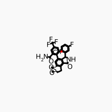 NC(=O)c1cc(C(F)(F)F)cc(F)c1-c1cc2c(c3c1C(c1cc(F)ccc1Cl)NC3=O)CCS2(=O)=O